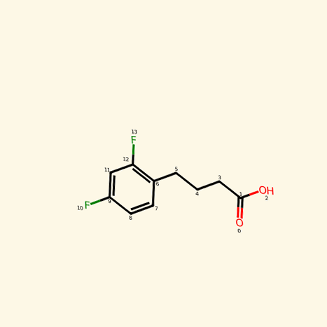 O=C(O)CCCc1ccc(F)cc1F